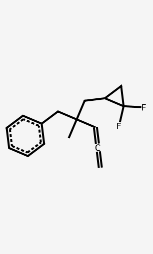 C=C=CC(C)(Cc1ccccc1)CC1CC1(F)F